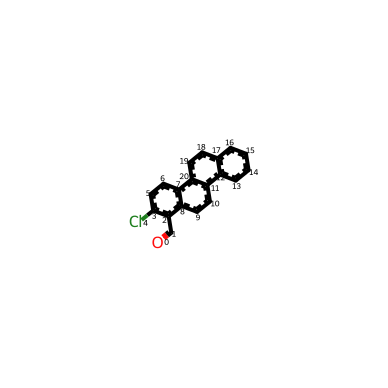 O=Cc1c(Cl)ccc2c1ccc1c3ccccc3ccc21